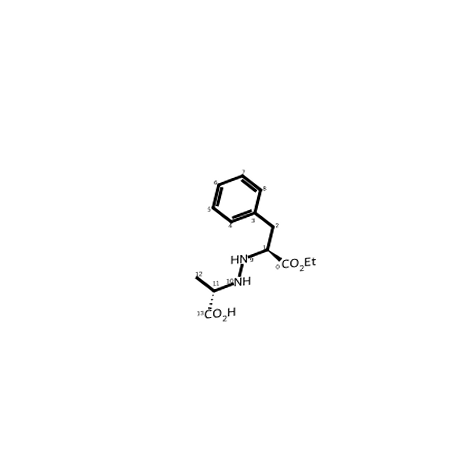 CCOC(=O)[C@H](Cc1ccccc1)NN[C@@H](C)C(=O)O